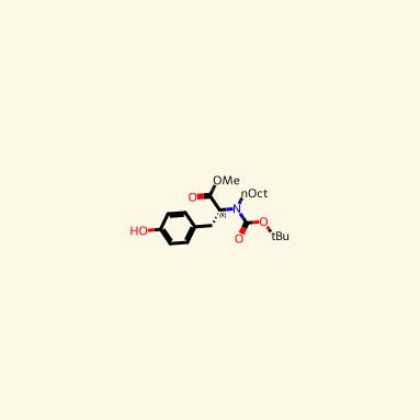 CCCCCCCCN(C(=O)OC(C)(C)C)[C@H](Cc1ccc(O)cc1)C(=O)OC